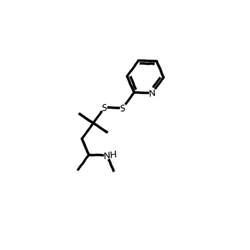 CNC(C)CC(C)(C)SSc1ccccn1